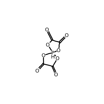 O=C1O[PH]2(OC1=O)OC(=O)C(=O)O2